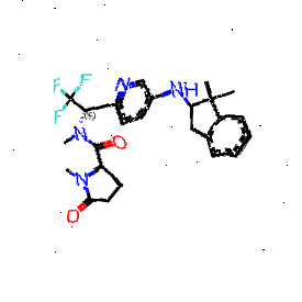 CN1C(=O)CCC1C(=O)N(C)[C@@H](c1ccc(NC2Cc3ccccc3C2(C)C)cn1)C(F)(F)F